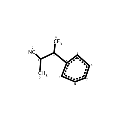 CC(C#N)C(c1ccccc1)C(F)(F)F